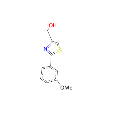 COc1cccc(-c2nc(CO)cs2)c1